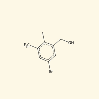 Cc1c(CO)cc(Br)cc1C(F)(F)F